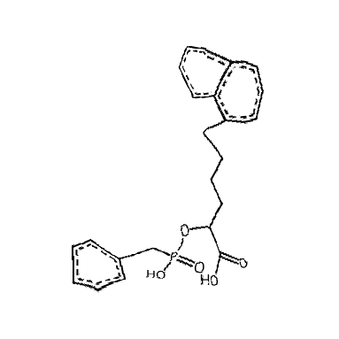 O=C(O)C(CCCCc1cccc2ccccc12)OP(=O)(O)Cc1ccccc1